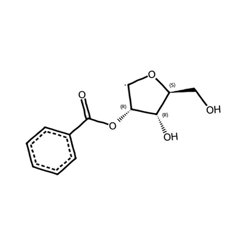 O=C(O[C@@H]1[CH]O[C@@H](CO)[C@@H]1O)c1ccccc1